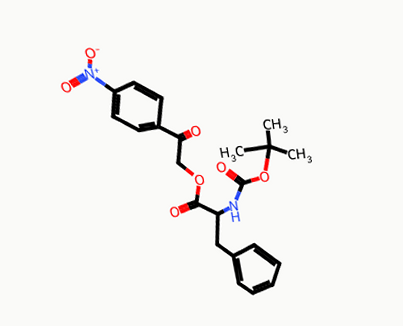 CC(C)(C)OC(=O)NC(Cc1ccccc1)C(=O)OCC(=O)c1ccc([N+](=O)[O-])cc1